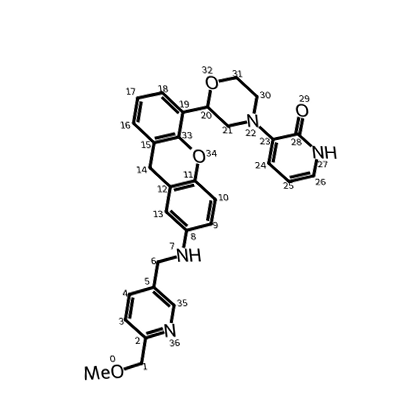 COCc1ccc(CNc2ccc3c(c2)Cc2cccc(C4CN(c5ccc[nH]c5=O)CCO4)c2O3)cn1